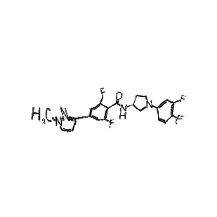 Cn1ccc(-c2cc(F)c(C(=O)N[C@H]3CCN(c4ccc(F)c(F)c4)C3)c(F)c2)n1